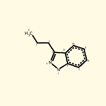 CCCC1=N[N]c2ccccc21